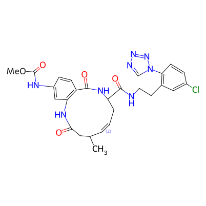 COC(=O)Nc1ccc2c(c1)NC(=O)CC(C)/C=C\CC(C(=O)NCCc1cc(Cl)ccc1-n1cnnn1)NC2=O